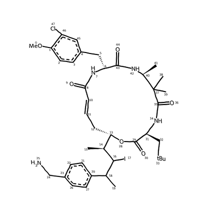 COc1ccc(C[C@H]2NC(=O)/C=C/C[C@@H]([C@H](C)C(I)C(C)c3ccc(CN)cc3)OC(=O)[C@H](CC(C)(C)C)NC(=O)C(C)(C)[C@H](C)NC2=O)cc1Cl